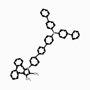 Cc1c(C)n(-c2ccc(-c3ccc(-c4ccc(N(c5ccc(-c6ccccc6)cc5)c5ccc(-c6ccccc6)cc5)cc4)cc3)cc2)c2c3ccccc3c3ccccc3c12